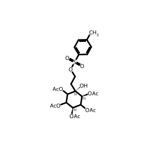 CC(=O)OC1C(OC(C)=O)[C@@](O)(CCOS(=O)(=O)c2ccc(C)cc2)[C@@H](OC(C)=O)C(OC(C)=O)[C@H]1OC(C)=O